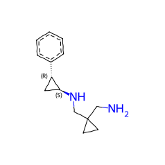 NCC1(CN[C@H]2C[C@@H]2c2ccccc2)CC1